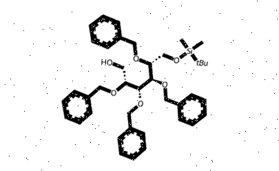 CC(C)(C)[Si](C)(C)OC[C@@H](OCc1ccccc1)[C@@H](OCc1ccccc1)[C@H](OCc1ccccc1)[C@@H](CO)OCc1ccccc1